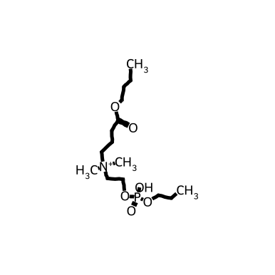 CCCCOC(=O)CCC[N+](C)(C)CCOP(=O)(O)OCCC